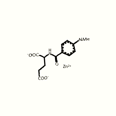 CNc1ccc(C(=O)NC(CCC(=O)[O-])C(=O)[O-])cc1.[Zn+2]